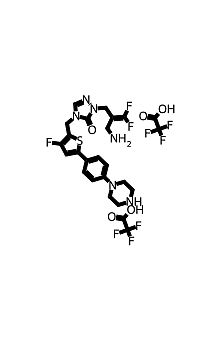 NCC(Cn1ncn(Cc2sc(-c3ccc(N4CCNCC4)cc3)cc2F)c1=O)=C(F)F.O=C(O)C(F)(F)F.O=C(O)C(F)(F)F